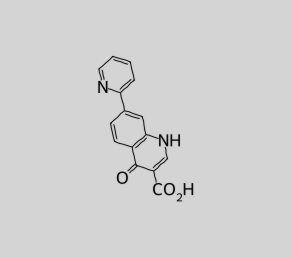 O=C(O)c1c[nH]c2cc(-c3ccccn3)ccc2c1=O